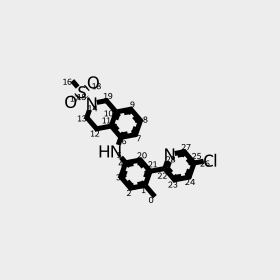 Cc1ccc(Nc2cccc3c2CCN(S(C)(=O)=O)C3)cc1-c1ccc(Cl)cn1